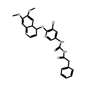 COC1=CC2=NC=CC(Oc3ncc(NC(=S)NC(=O)Cc4ccccc4)cc3Cl)C2C=C1OC